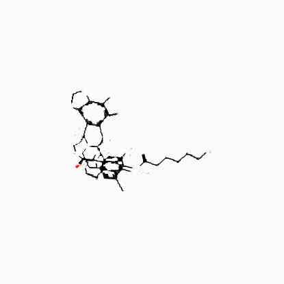 CCCCCCCCCCCCCCCC(=O)Oc1cc2c(cc1OC)[C@@]1(CS[C@@H]3c4c(OC(C)=O)c(C)c5c(c4[C@H](COC1=O)N1C3[C@H]3c4c(cc(C)c(OC)c4O)C[C@@H]([C@@H]1O)N3C)OCO5)NCC2